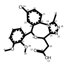 COc1cccc(C2OC(CC(=O)O)c3nnc(C)n3-c3ccc(Cl)cc32)c1OC